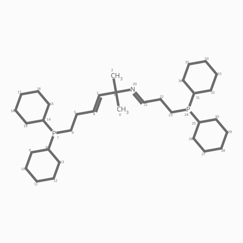 CC(C)(C=CCCP(C1CCCCC1)C1CCCCC1)N=CCCP(C1CCCCC1)C1CCCCC1